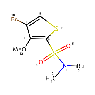 CCC(C)N(C)S(=O)(=O)c1scc(Br)c1OC